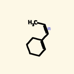 C/C=C\C1=CCCCC1